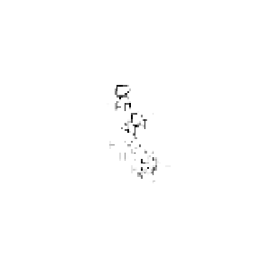 O=P(O)(O)C(F)(F)P(=O)(O)OC[C@H]1O[C@@H](n2nnc3c(NCc4ccccc4Cl)nc(Cl)nc32)[C@H](O)[C@@H]1O